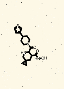 O=C(NO)C1CC2(CC2)CNC1C(=O)N1CCC(c2ccsc2)CC1